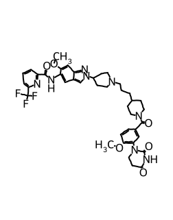 COc1cc2nn(C3CCN(CCCC4CCN(C(=O)c5ccc(OC)c(N6CCC(=O)NC6=O)c5)CC4)CC3)cc2cc1NC(=O)c1cccc(C(F)(F)F)n1